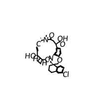 C[C@H]1C/C=C/[C@H](O)[C@@H]2CC[C@H]2CN2C[C@@]3(CCCc4cc(Cl)ccc43)COc3ccc(cc32)C(C(=O)O)CC(=O)N1C